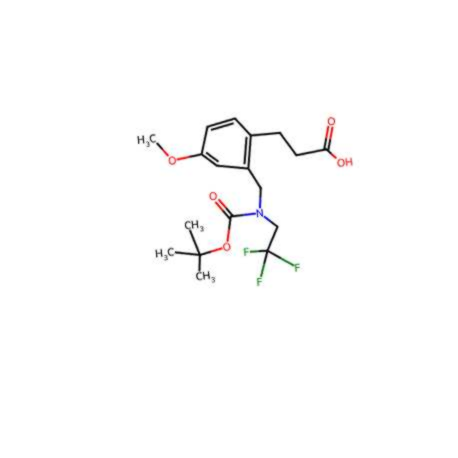 COc1ccc(CCC(=O)O)c(CN(CC(F)(F)F)C(=O)OC(C)(C)C)c1